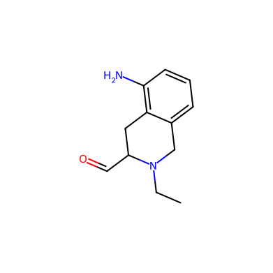 CCN1Cc2cccc(N)c2CC1C=O